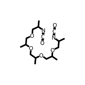 CC(COCC(C)OCC(C)OCC(C)OCC(C)N=C=O)N=C=O